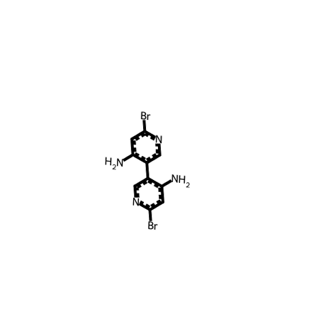 Nc1cc(Br)ncc1-c1cnc(Br)cc1N